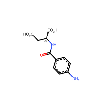 Nc1ccc(C(=O)N[C@@H](CC(=O)O)C(=O)O)cc1